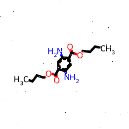 CCCCOC(=O)c1cc(N)c(C(=O)OCCCC)cc1N